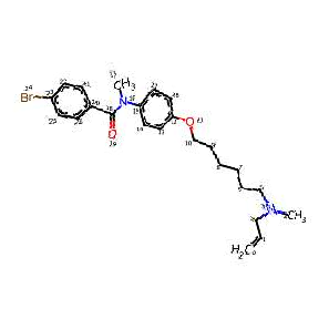 C=CCN(C)CCCCCCOc1ccc(N(C)C(=O)c2ccc(Br)cc2)cc1